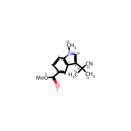 COC(=O)c1ccc2c(c1)c(C(C)(C)C#N)cn2C